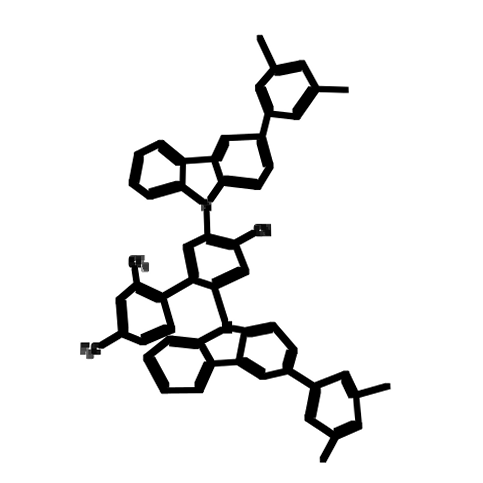 Cc1cc(C)cc(-c2ccc3c(c2)c2ccccc2n3-c2cc(-c3ccc(C(F)(F)F)cc3C(F)(F)F)c(-n3c4ccccc4c4cc(-c5cc(C)cc(C)c5)ccc43)cc2C#N)c1